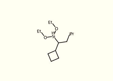 CCO[SiH](OCC)C(CC(C)C)C1CCC1